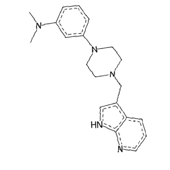 CN(C)c1cccc(N2CCN(Cc3c[nH]c4ncccc34)CC2)c1